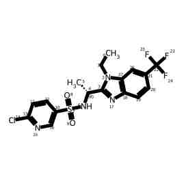 CCn1c([C@@H](C)NS(=O)(=O)c2ccc(Cl)nc2)nc2ccc(C(F)(F)F)cc21